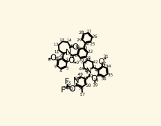 COc1cccc(OC)c1C1CCCCC(=O)N1Cc1cccc(-c2ccccc2)c1.COc1cccc(OC)c1C1CCCCN1Cc1cnc(OC(F)F)c(C)c1